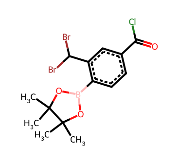 CC1(C)OB(c2ccc(C(=O)Cl)cc2C(Br)Br)OC1(C)C